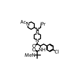 CNC(C)(C)C(=O)NC(Cc1ccc(Cl)cc1)C(=O)N1CCN(N(CC(C)C)C2CCN(C(C)=O)CC2)CC1